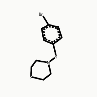 Brc1ccc(SN2CCSCC2)cc1